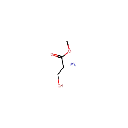 COC(=O)CCO.N